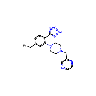 CC(C)Cc1ccc(-c2nn[nH]n2)c(N2CCN(Cc3cnccn3)CC2)c1